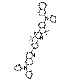 CC1(C)c2cc(-c3ccc4cc(N(c5ccccc5)c5ccccc5)ccc4n3)ccc2-c2nc3c(nc21)-c1ccc(N(c2ccccc2)c2ccc4ccccc4c2)cc1C3(C)C